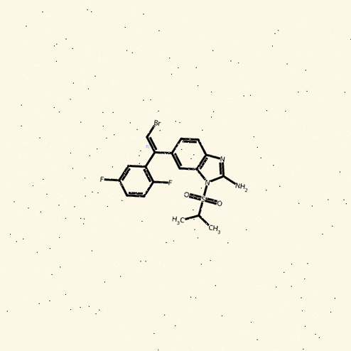 CC(C)S(=O)(=O)n1c(N)nc2ccc(/C(=C\Br)c3cc(F)ccc3F)cc21